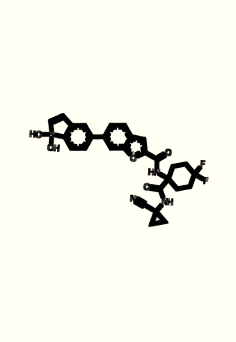 N#CC1(NC(=O)C2(NC(=O)c3cc4ccc(-c5ccc6c(c5)C=CS6(O)O)cc4o3)CCC(F)(F)CC2)CC1